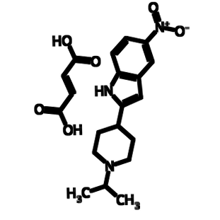 CC(C)N1CCC(c2cc3cc([N+](=O)[O-])ccc3[nH]2)CC1.O=C(O)C=CC(=O)O